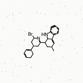 CC1C=C2c3ccc#cc3NC2C(C2=NC(Br)CC(C3=CC=CCC3)C2)C1